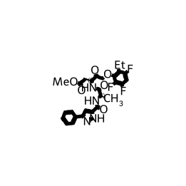 CCc1c(F)cc(F)c(F)c1OCC(=O)[C@H](CC(=O)OC)NC(=O)[C@H](C)NC(=O)c1cc(-c2ccccc2)n[nH]1